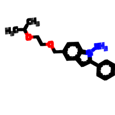 CC(C)OCCOCc1ccc2c(c1)cc(-c1ccccc1)n2N